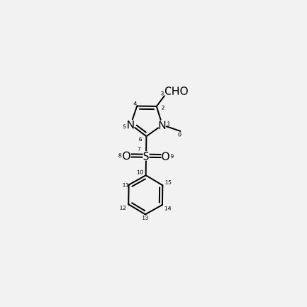 Cn1c(C=O)cnc1S(=O)(=O)c1ccccc1